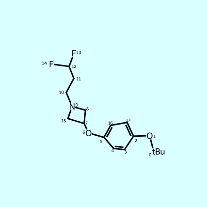 CC(C)(C)Oc1ccc(OC2CN(CCC(F)F)C2)cc1